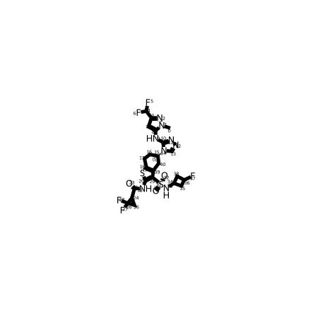 Cn1nc(C(F)F)cc1Nc1nncn1[C@H]1CCc2sc(NC(=O)C3CC3(F)F)c(S(=O)(=O)NC3CC(F)C3)c2C1